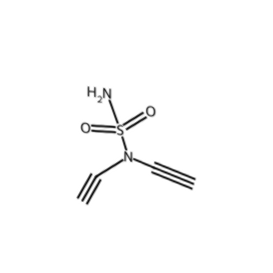 C#CN(C#C)S(N)(=O)=O